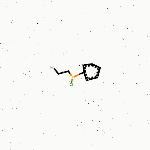 CC(C)CCP(Cl)c1ccccc1